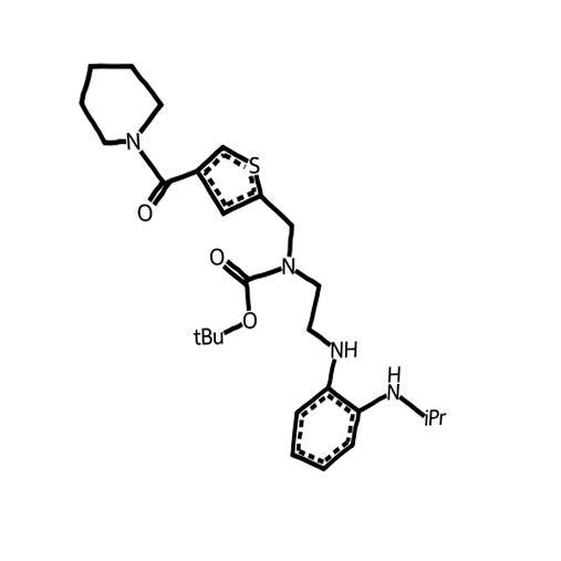 CC(C)Nc1ccccc1NCCN(Cc1cc(C(=O)N2CCCCC2)cs1)C(=O)OC(C)(C)C